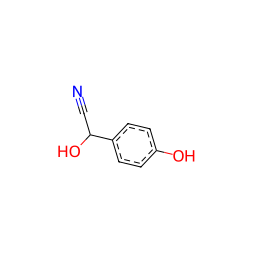 N#CC(O)c1ccc(O)cc1